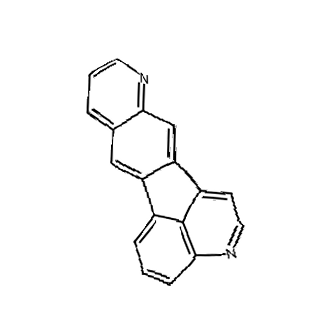 c1cnc2cc3c(cc2c1)-c1cccc2nccc-3c12